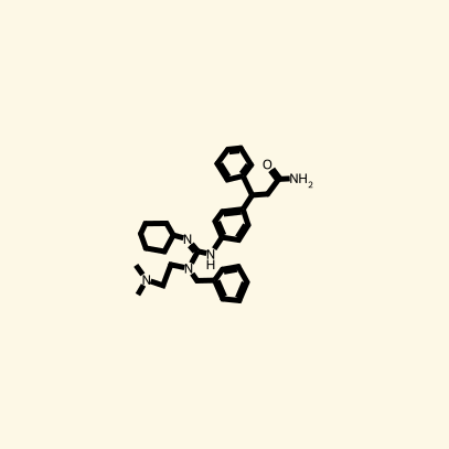 CN(C)CCN(Cc1ccccc1)/C(=N\C1CCCCC1)Nc1ccc(C(CC(N)=O)c2ccccc2)cc1